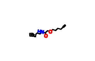 C#CCCCCOCC(=O)NCCC(C)(C)C